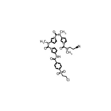 CN(CCC#N)C(=O)n1ccc(N(C)C(=O)n2ccc(N(C)C(=O)n3ccc(NC(=O)c4ccc(S(=O)(=O)CCCl)cc4)c3)c2)c1